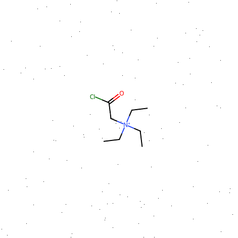 CC[N+](CC)(CC)CC(=O)Cl